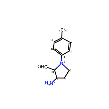 N#Cc1ccc(N2CCC(N)C2C=O)cc1